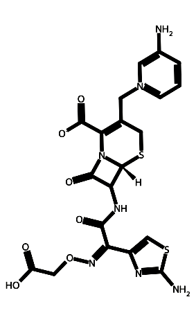 Nc1ccc[n+](CC2=C(C(=O)[O-])N3C(=O)C(NC(=O)/C(=N\OCC(=O)O)c4csc(N)n4)[C@H]3SC2)c1